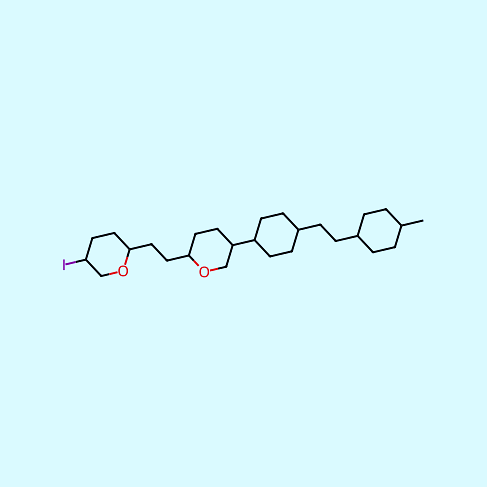 CC1CCC(CCC2CCC(C3CCC(CCC4CCC(I)CO4)OC3)CC2)CC1